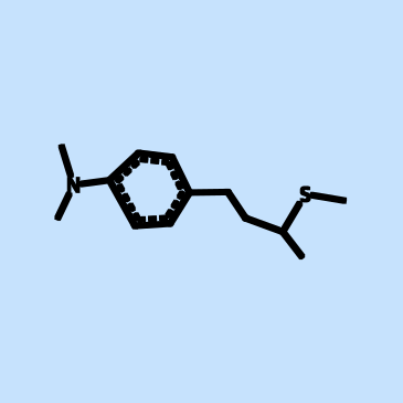 CSC(C)CCc1ccc(N(C)C)cc1